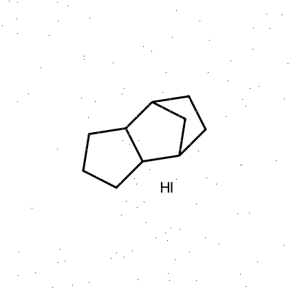 C1CC2C3CCC(C3)C2C1.I